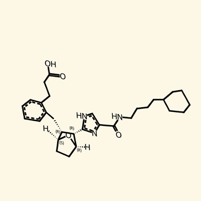 O=C(O)CCc1ccccc1C[C@@H]1[C@H](c2nc(C(=O)NCCCCC3CCCCC3)c[nH]2)[C@H]2CC[C@@H]1O2